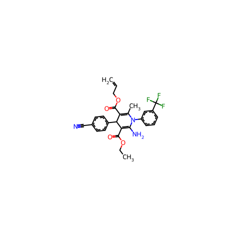 C=CCOC(=O)C1=C(C)N(c2cccc(C(F)(F)F)c2)C(N)=C(C(=O)OCC)C1c1ccc(C#N)cc1